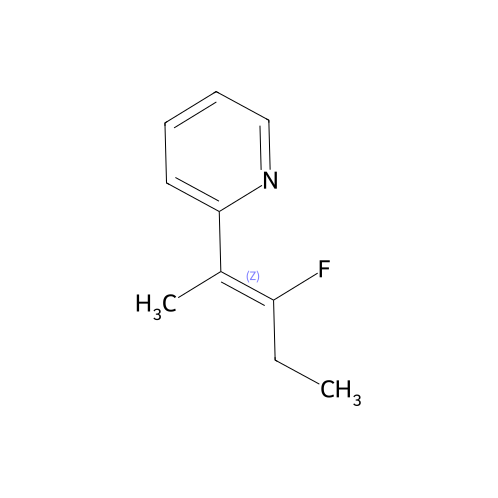 CC/C(F)=C(\C)c1ccccn1